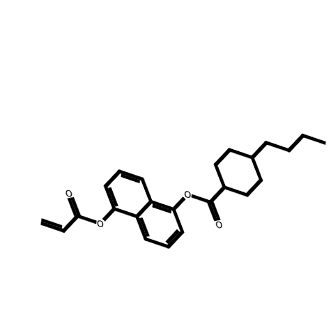 C=CC(=O)Oc1cccc2c(OC(=O)C3CCC(CCCC)CC3)cccc12